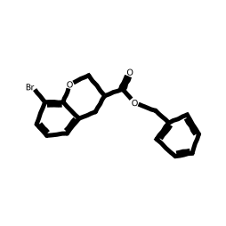 O=C(OCc1ccccc1)C1COc2c(Br)cccc2C1